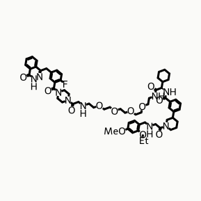 CCOc1cc(OC)ccc1CNCC(=O)N1CCCC(c2cccc(C(=O)N[C@@H](C(=O)NCCOCCOCCOCCOCCNCC(=O)N3CCN(C(=O)c4cc(Cc5n[nH]c(=O)c6ccccc56)ccc4F)CC3)C3CCCCC3)c2)C1